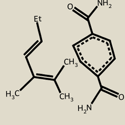 CCC=CC(C)=C(C)C.NC(=O)c1ccc(C(N)=O)cc1